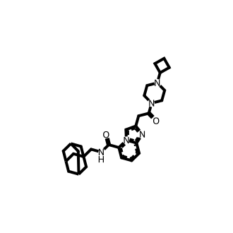 O=C(NCC12CC3CC(CC(C3)C1)C2)c1cccc2nc(CC(=O)N3CCN(C4CCC4)CC3)cn12